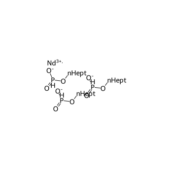 CCCCCCCO[PH](=O)[O-].CCCCCCCO[PH](=O)[O-].CCCCCCCO[PH](=O)[O-].[Nd+3]